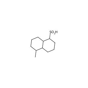 CC1CCCC2C1CCCC2S(=O)(=O)O